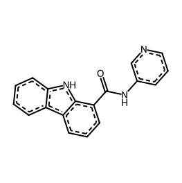 O=C(Nc1cccnc1)c1cccc2c1[nH]c1ccccc12